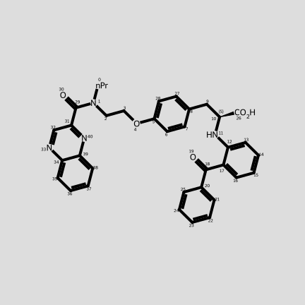 CCCN(CCOc1ccc(C[C@H](Nc2ccccc2C(=O)c2ccccc2)C(=O)O)cc1)C(=O)c1cnc2ccccc2n1